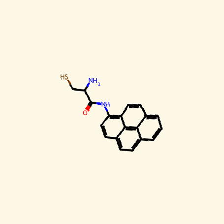 NC(CS)C(=O)Nc1ccc2ccc3cccc4ccc1c2c34